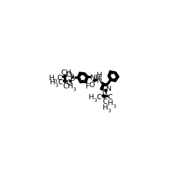 CC(C)(C)n1cc(NC(=O)Nc2ccc(B3OC(C)(C)C(C)(C)O3)cc2F)c(-c2ccccc2)n1